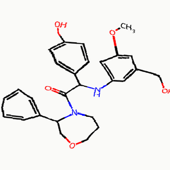 COc1cc(CO)cc(NC(C(=O)N2CCCOCC2c2ccccc2)c2ccc(O)cc2)c1